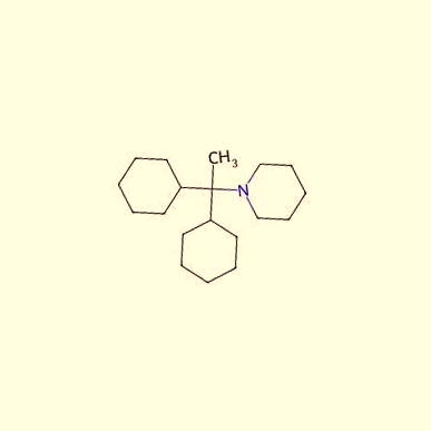 CC(C1CCCCC1)(C1CCCCC1)N1CCCCC1